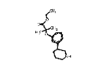 CCOC(=O)C(C)(C)Oc1cccc(C2CCCNC2)c1